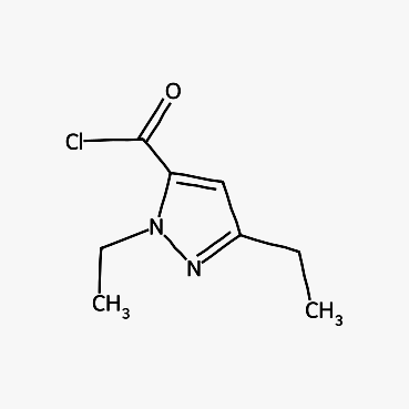 CCc1cc(C(=O)Cl)n(CC)n1